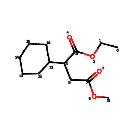 CCOC(=O)C(CC(=O)OC)C1CCCCC1